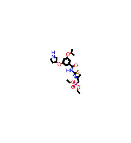 CCOP(=O)(Cc1csc(NC(=O)c2cc(OC(C)C)cc(O[C@H]3CCNC3)c2)n1)OCC